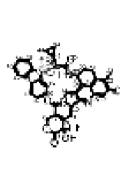 CC[C@@]1(O)C(=O)OCc2c1cc1n(c2=O)Cc2c-1nc1cc(Cl)c(C)c3c1c2[C@@H](NC(=O)[C@@H](O[Si](c1ccccc1)(c1ccccc1)C(C)(C)C)C1CC1)CC3